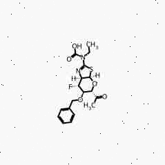 CCN(C(=O)O)C1=N[C@@H]2[C@@H](F)[C@H](OCc3ccccc3)[C@@H](C(C)=O)O[C@@H]2S1